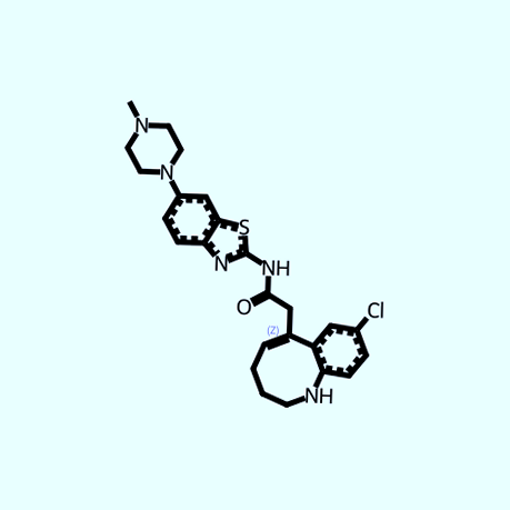 CN1CCN(c2ccc3nc(NC(=O)C/C4=C/CCCNc5ccc(Cl)cc54)sc3c2)CC1